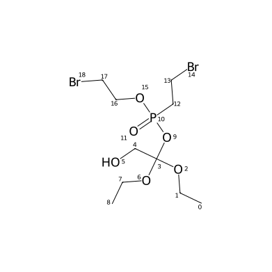 CCOC(CO)(OCC)OP(=O)(CCBr)OCCBr